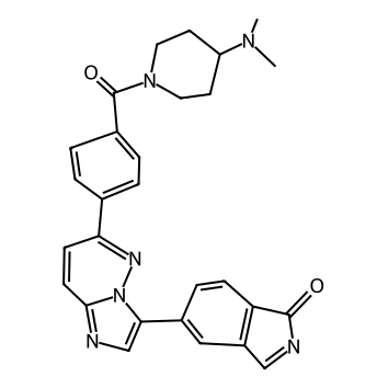 CN(C)C1CCN(C(=O)c2ccc(-c3ccc4ncc(-c5ccc6c(c5)C=NC6=O)n4n3)cc2)CC1